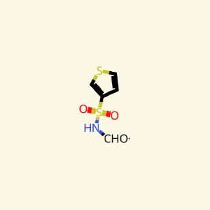 O=[C]NS(=O)(=O)c1ccsc1